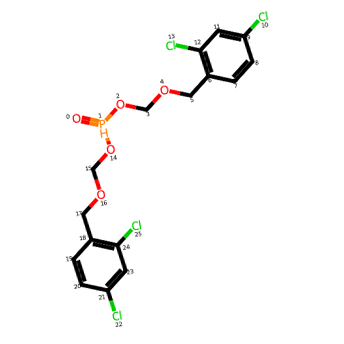 O=[PH](OCOCc1ccc(Cl)cc1Cl)OCOCc1ccc(Cl)cc1Cl